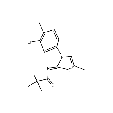 Cc1cn(-c2ccc(C)c(Cl)c2)c(=NC(=O)C(C)(C)C)s1